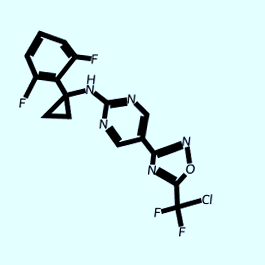 Fc1cccc(F)c1C1(Nc2ncc(-c3noc(C(F)(F)Cl)n3)cn2)CC1